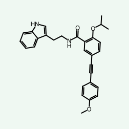 COc1ccc(C#Cc2ccc(OC(C)C)c(C(=O)NCCc3c[nH]c4ccccc34)c2)cc1